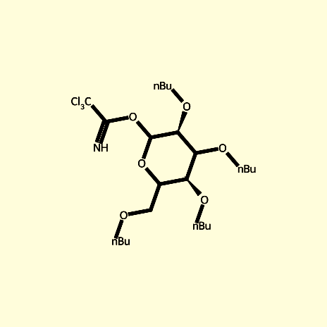 CCCCOCC1OC(OC(=N)C(Cl)(Cl)Cl)[C@@H](OCCCC)C(OCCCC)[C@H]1OCCCC